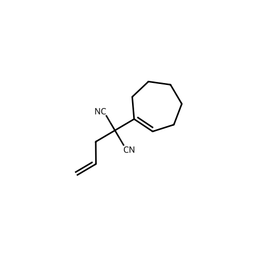 C=CCC(C#N)(C#N)C1=CCCCCC1